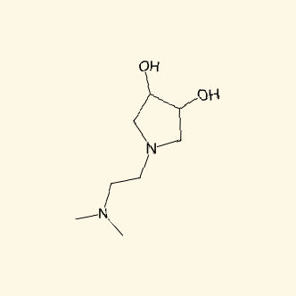 CN(C)CCN1CC(O)C(O)C1